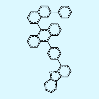 c1ccc(-c2ccc3cccc(-c4c5ccccc5c(-c5ccc(-c6cccc7c6oc6ccccc67)cc5)c5ccccc45)c3c2)cc1